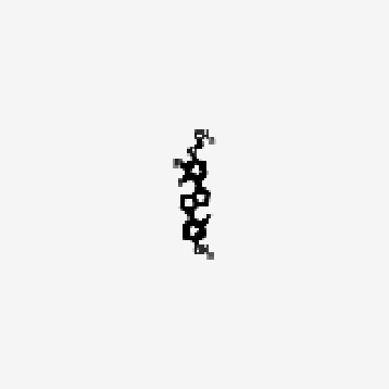 CCOc1ccc(C2=CCC3C2CCC3c2ccc(C)cc2F)c(F)c1F